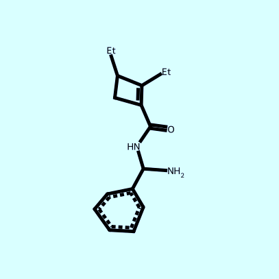 CCC1=C(C(=O)NC(N)c2ccccc2)CC1CC